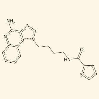 Nc1nc2ccccc2c2c1ncn2CCCCNC(=O)c1cccs1